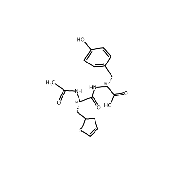 CC(=O)N[C@@H](CC1CC=CS1)C(=O)N[C@H](Cc1ccc(O)cc1)C(=O)O